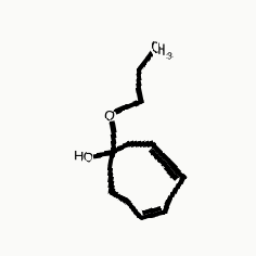 CCCOC1(O)C=CC=CC1